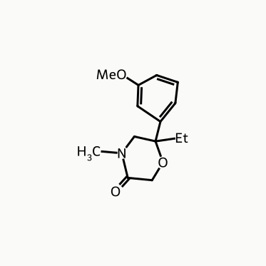 CCC1(c2cccc(OC)c2)CN(C)C(=O)CO1